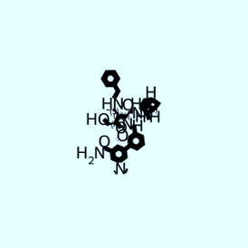 COc1c(CN2O[C@@H](CO)[C@@H]([C@H](C)NCCc3ccccc3)[C@H]2C(=O)N[C@H]2C[C@H]3C[C@@H]([C@@H]2C)C3(C)C)cccc1-c1cc(C(N)=O)cc(N(C)C)c1